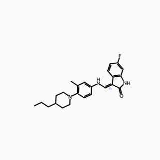 CCCC1CCN(c2ccc(N/C=C3/C(=O)Nc4cc(F)ccc43)cc2C)CC1